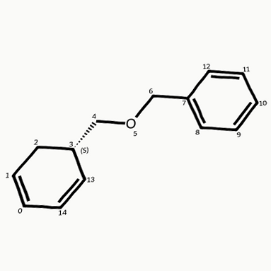 C1=CC[C@H](COCc2ccccc2)C=C1